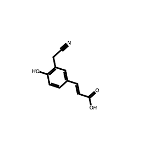 N#CCc1cc(C=CC(=O)O)ccc1O